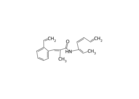 C=C/C=C\C(=C/C)NC(=O)/C(C)=C/c1ccccc1C=C